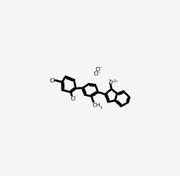 Cc1cc(-c2ccc(Cl)cc2Cl)ccc1C1=Cc2ccccc2[CH]1[Zr+2].[Cl-].[Cl-]